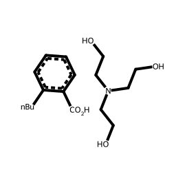 CCCCc1ccccc1C(=O)O.OCCN(CCO)CCO